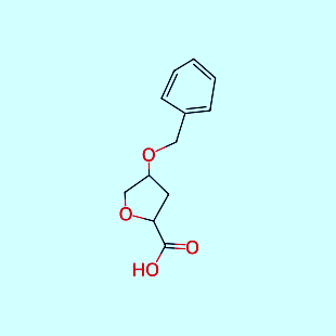 O=C(O)C1CC(OCc2ccccc2)CO1